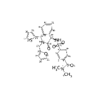 CN(C)C(=O)c1ccc(S(=O)(=O)N[C@@H](C(=O)N(Cc2ccco2)Cc2cccs2)c2ccccc2)cc1